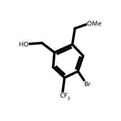 COCc1cc(Br)c(C(F)(F)F)cc1CO